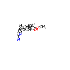 CCOC[C@@]1(O)CC[C@H]2[C@H](CC[C@@H]3[C@@H]2CC[C@]2(C)C([C@@H](C)Cc4cccc(C#N)n4)CC[C@@H]32)C1